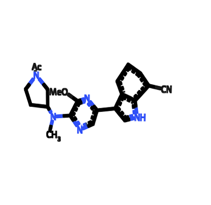 COc1nc(-c2c[nH]c3c(C#N)cccc23)cnc1N(C)C1CCN(C(C)=O)C1